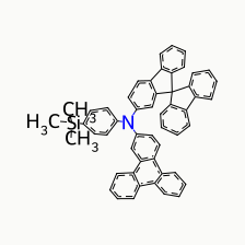 C[Si](C)(C)c1ccc(N(c2ccc3c(c2)C2(c4ccccc4-c4ccccc42)c2ccccc2-3)c2ccc3c4ccccc4c4ccccc4c3c2)cc1